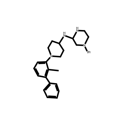 Cc1c(-c2ccccc2)cccc1N1CCC(NC2CN(C(C)C)CCN2)CC1